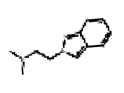 CN(C)CCn1cc2c[c]ccc2n1